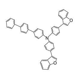 c1ccc(-c2ccc(-c3ccc(N(c4ccc(-c5coc6ccccc56)cc4)c4ccc(-c5coc6ccccc56)cc4)cc3)cc2)cc1